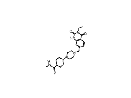 CCn1c(=O)[nH]c2cc(CN3CCN(C4CCC(C(=O)NC)CC4)CC3)ccc2c1=O